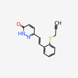 C#CCSc1ccccc1/C=C/c1ccc(=O)[nH]n1